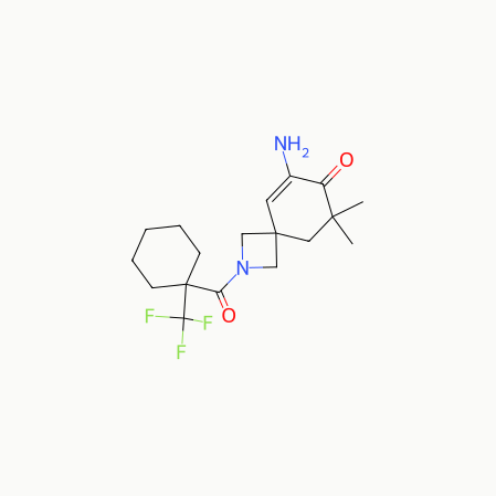 CC1(C)CC2(C=C(N)C1=O)CN(C(=O)C1(C(F)(F)F)CCCCC1)C2